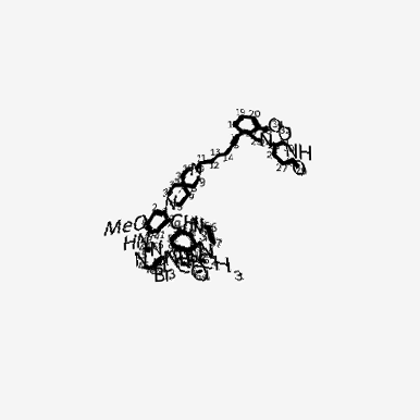 COc1cc(N2CCC3(CCN(CCCCC#Cc4cccc5c4CN(C4CCC(=O)NC4=O)C5=O)CC3)CC2)c(C)cc1Nc1ncc(Br)c(Nc2ccc3nccnc3c2P(C)(C)=O)n1